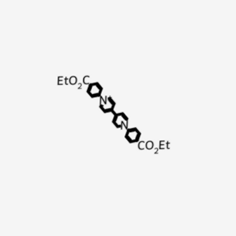 CCOC(=O)c1ccc(N2C=CC(c3cc[n+](-c4ccc(C(=O)OCC)cc4)cc3)=CC2)cc1